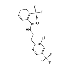 O=C(NCCc1ncc(C(F)(F)F)cc1Cl)C1=C(C(F)(F)F)CCC=C1